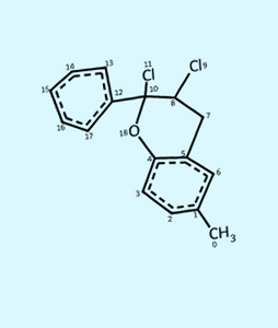 Cc1ccc2c(c1)CC(Cl)C(Cl)(c1ccccc1)O2